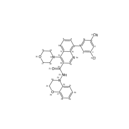 N#Cc1cc(Cl)cc(-c2cccc3c(N4CCOCC4)c(C(=O)NN4CCOc5ccccc54)cnc23)c1